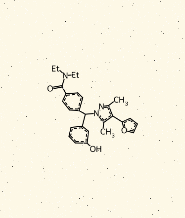 CCN(CC)C(=O)c1ccc(C(c2cccc(O)c2)n2nc(C)c(-c3ccco3)c2C)cc1